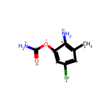 Cc1cc(Br)cc(OC(N)=O)c1N